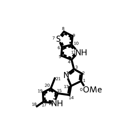 COC1=CC(c2cc3sccc3[nH]2)=NC1=Cc1[nH]c(C)cc1C